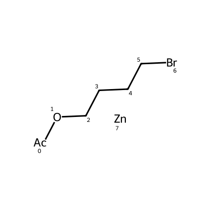 CC(=O)OCCCCBr.[Zn]